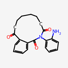 Nc1ccccc1N1C(=O)CCCCCCC(=O)c2ccccc2C1=O